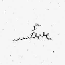 CCCCCCCCCCCCCCOCC(CNC(=O)CCNC(=O)OC(C)(C)C)OCCCCCCCCCCCCCC